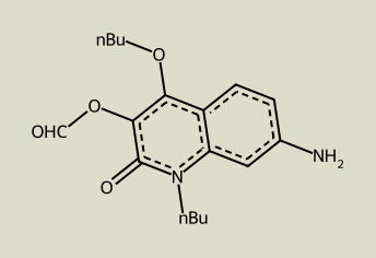 CCCCOc1c(OC=O)c(=O)n(CCCC)c2cc(N)ccc12